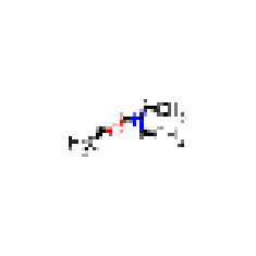 C=COCN(CC)CC